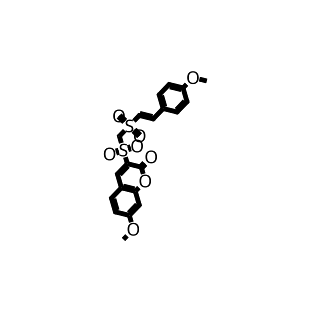 COc1ccc(C=CS(=O)(=O)CS(=O)(=O)c2cc3ccc(OC)cc3oc2=O)cc1